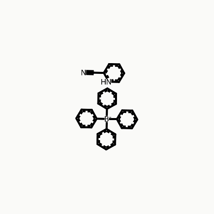 N#Cc1cccc[nH+]1.c1ccc([B-](c2ccccc2)(c2ccccc2)c2ccccc2)cc1